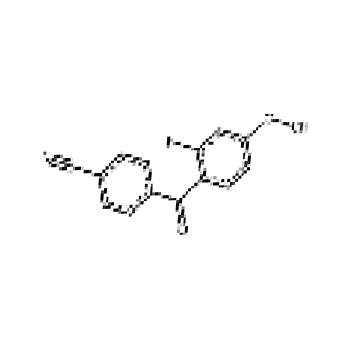 COc1ccc(C(=O)c2ccc(C#N)cc2)c(F)c1